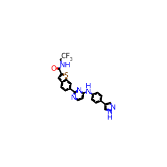 O=C(NCC(F)(F)F)c1cc2ccc(-c3nccc(Nc4ccc(-c5cn[nH]c5)cc4)n3)cc2s1